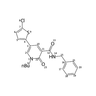 CCCCn1cc(-c2ccc(Cl)s2)cc(C(=O)NCc2ccccc2)c1=O